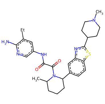 CCc1cc(NC(=O)C(=O)N2C(C)CCCC2c2ccc3sc(C4CCN(C)CC4)nc3c2)cnc1N